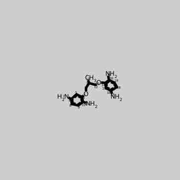 CC(COc1cc(N)ccc1N)COc1cc(N)ccc1N